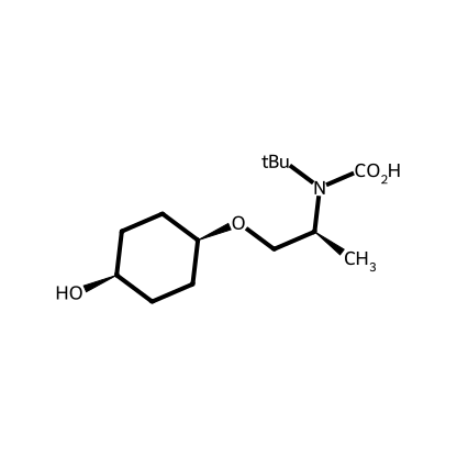 C[C@@H](CO[C@H]1CC[C@@H](O)CC1)N(C(=O)O)C(C)(C)C